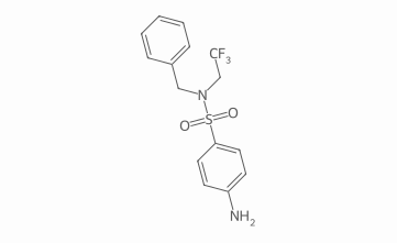 Nc1ccc(S(=O)(=O)N(Cc2ccccc2)CC(F)(F)F)cc1